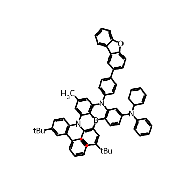 Cc1cc2c3c(c1)N(c1ccc(C(C)(C)C)cc1-c1ccccc1)c1ccc(C(C)(C)C)cc1B3c1ccc(N(c3ccccc3)C3C=CC=CC3)cc1N2c1ccc(-c2ccc3oc4ccccc4c3c2)cc1